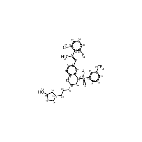 C/C(=C\c1ccc2c(c1)N(S(=O)(=O)c1cccc(C(F)(F)F)c1)C[C@H](CCCN1CCC(O)C1)O2)c1c(F)cccc1Cl